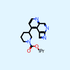 CC(C)OC(=O)N1CCCC(c2ccnc3cnc4c(c23)C=N4)C1